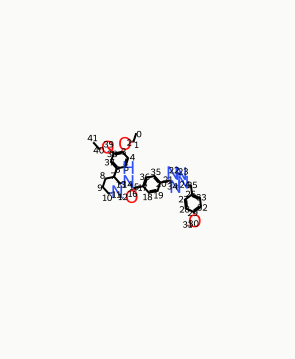 CCOc1ccc(C2CCCN(C)C2NC(=O)c2ccc(-c3nnn(Cc4ccc(OC)cc4)n3)cc2)cc1OCC